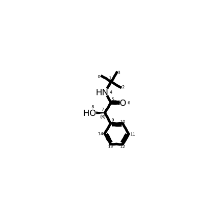 CC(C)(C)NC(=O)[C@H](O)c1ccccc1